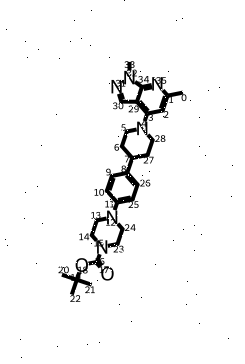 Cc1cc(N2CCC(c3ccc(N4CCN(C(=O)OC(C)(C)C)CC4)cc3)CC2)c2cnn(C)c2n1